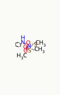 CCCSP(=NCCSC)(OCC)OC(=O)Nc1ccccc1